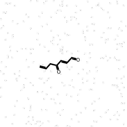 C=CCC(=O)/C=C/C=O